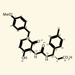 COc1ccc(Cn2ccc(O)c(NC(=O)N[C@@H](CC(=O)O)c3ccc(C)cc3)c2=O)cc1